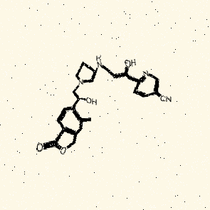 Cc1c([C@H](O)CN2CC[C@H](NCC(O)c3ccc(C#N)cn3)C2)ccc2c1COC2=O